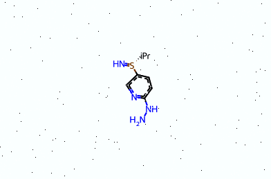 CC(C)[S@@](=N)c1ccc(NN)nc1